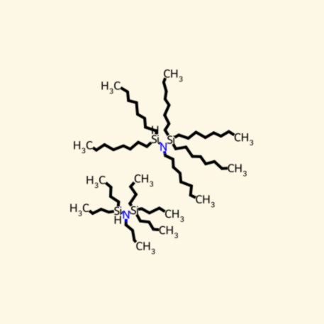 CCCCCCCCN([SiH](CCCCCCCC)CCCCCCCC)[Si](CCCCCCCC)(CCCCCCCC)CCCCCCCC.CCCCN([SiH](CCCC)CCCC)[Si](CCCC)(CCCC)CCCC